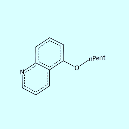 [CH2]CCCCOc1cccc2ncccc12